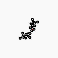 c1ccc(-c2cc(-c3ccccc3)nc(-c3cccc(N4c5ccccc5C5c6ccc(-c7cccc(-c8cccc9c8N(c8ccccc8)C8c%10ccccc%10N(c%10nc(-c%11ccccc%11)cc(-c%11ccccc%11)n%10)c%10ccccc%10C98)c7)cc6Oc6ccccc6C54)c3)n2)cc1